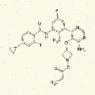 C=CC(=O)ON1CC(Oc2c(N)ncnc2-c2cc(F)cc(NC(=O)c3ccc(C4CC4)cc3F)c2C)C1